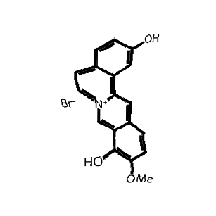 COc1ccc2cc3c4cc(O)ccc4cc[n+]3cc2c1O.[Br-]